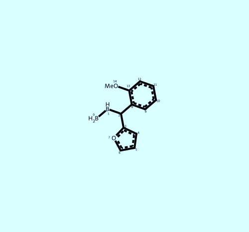 BBC(c1ccco1)c1ccccc1OC